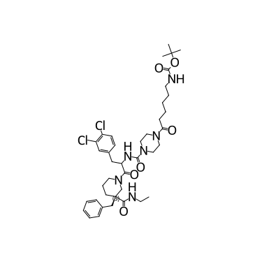 CCNC(=O)[C@]1(Cc2ccccc2)CCCN(C(=O)C(Cc2ccc(Cl)c(Cl)c2)NC(=O)N2CCN(C(=O)CCCCCNC(=O)OC(C)(C)C)CC2)C1